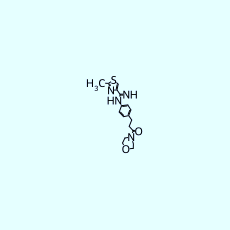 Cc1nc(C(=N)Nc2ccc(CCC(=O)N3CCOCC3)cc2)cs1